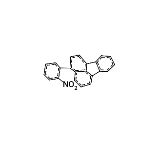 O=[N+]([O-])c1ccccc1-c1ccc2c3c(cccc13)-c1ccccc1-2